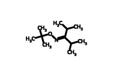 CC(C)C(=NOC(C)(C)C)C(C)C